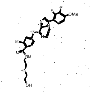 CCc1cc(Nc2nccn3c(-c4ccc(OC)c(F)c4F)cnc23)ccc1C(=O)NCCNCCO